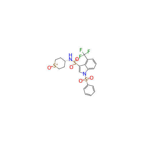 O=S(=O)(N[C@H]1CC[S@+]([O-])CC1)c1cn(S(=O)(=O)c2ccccc2)c2cccc(C(F)(F)F)c12